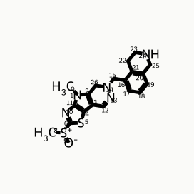 Cn1c2c(c3sc([S+](C)[O-])nc31)C=NN(Cc1cccc3c1CCNC3)C2